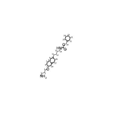 NCCCOc1ccc2cc(CCCCNC(=O)OCc3ccccc3)ccc2c1